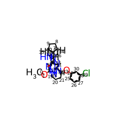 COc1cc(N2C[C@H]3CC[C@@H](C2)[C@@H]3Nc2nc3n(n2)CCC[C@H]3Oc2cccc(Cl)c2)cnn1